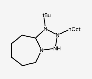 CCCCCCCCN1NN2CCCCCC2N1C(C)(C)C